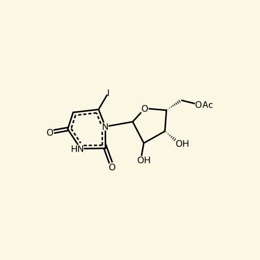 CC(=O)OC[C@H]1OC(n2c(I)cc(=O)[nH]c2=O)C(O)[C@H]1O